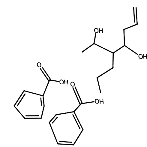 C=CCC(O)C(CCC)C(C)O.O=C(O)c1ccccc1.O=C(O)c1ccccc1